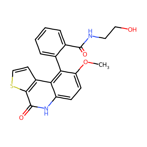 COc1ccc2[nH]c(=O)c3sccc3c2c1-c1ccccc1C(=O)NCCO